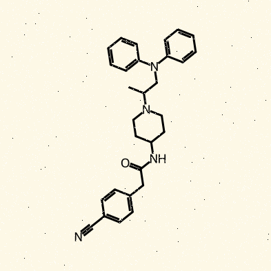 CC(CN(c1ccccc1)c1ccccc1)N1CCC(NC(=O)Cc2ccc(C#N)cc2)CC1